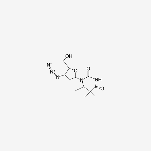 CC1N(C2CC(N=[N+]=[N-])C(CO)O2)C(=O)NC(=O)C1(C)C